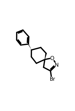 BrC1=NO[C@]2(CC[C@@H](c3ccccc3)CC2)C1